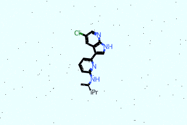 CC(C)[C@@H](C)Nc1cccc(-c2c[nH]c3ncc(Cl)cc23)n1